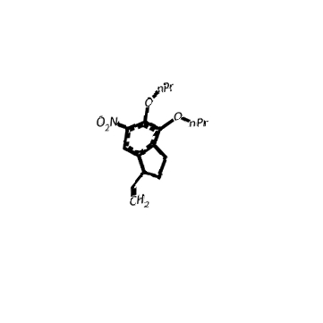 C=CC1CCc2c1cc([N+](=O)[O-])c(OCCC)c2OCCC